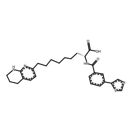 O=C(N[C@H](CCCCCCCc1ccc2c(n1)NCCC2)C(=O)O)c1cccc(-c2cncs2)c1